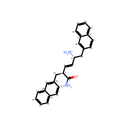 NC(=O)[C@H](C=C[C@H](N)Cc1ccc2ccccc2c1)Cc1ccc2ccccc2c1